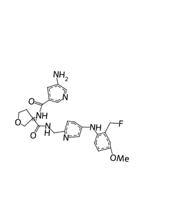 COc1ccc(Nc2ccc(CNC(=O)[C@]3(NC(=O)c4cncc(N)c4)CCOC3)nc2)c(CF)c1